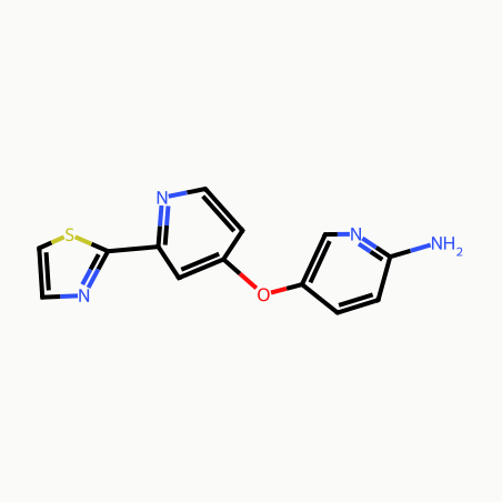 Nc1ccc(Oc2ccnc(-c3nccs3)c2)cn1